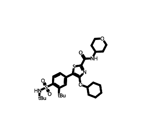 CC(C)(C)NS(=O)(=O)c1ccc(-c2sc(C(=O)NC3CCOCC3)nc2OC2CCCCC2)cc1C(C)(C)C